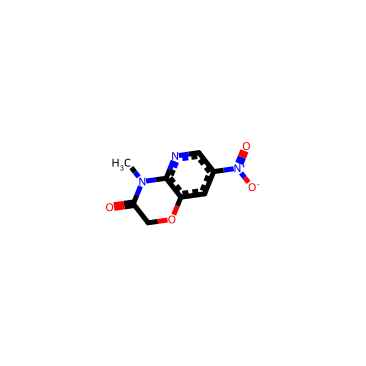 CN1C(=O)COc2cc([N+](=O)[O-])cnc21